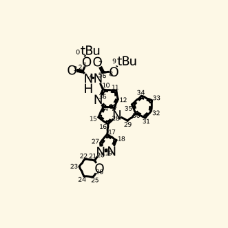 CC(C)(C)OC(=O)NN(C(=O)OC(C)(C)C)c1ccc2c(cc(-c3cnn(C4CCCCO4)c3)n2Cc2ccccc2)n1